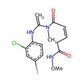 C=C(Nc1ccc(I)cc1Cl)N(C)C(=O)/C=C\CC(=O)NOC